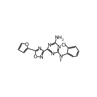 CN(c1nc(N)nc(-c2noc(-c3ccco3)n2)n1)c1ccccc1Cl